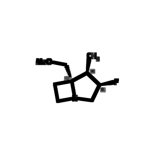 COC[C@@]12CCN1C[C@H](F)[C@@H]2C